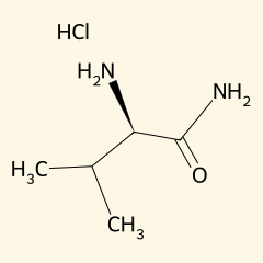 CC(C)[C@@H](N)C(N)=O.Cl